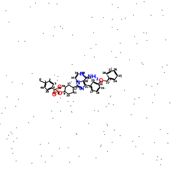 Cc1ccc(S(=O)(=O)OC2CCC(c3nc(-c4cccc(OCc5ccccc5)c4)c4c(N)nccn34)CC2)cc1